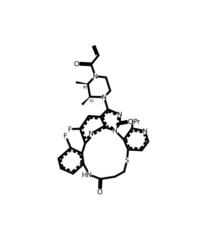 C=CC(=O)N1CCN(c2nc(=O)n3c4nc(c(F)cc24)-c2c(F)cccc2NC(=O)CCSc2ccnc(C(C)C)c2-3)[C@@H](C)[C@H]1C